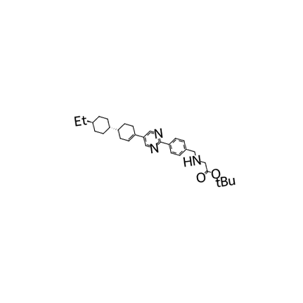 CC[C@H]1CC[C@H](C2CC=C(c3cnc(-c4ccc(CNCC(=O)OC(C)(C)C)cc4)nc3)CC2)CC1